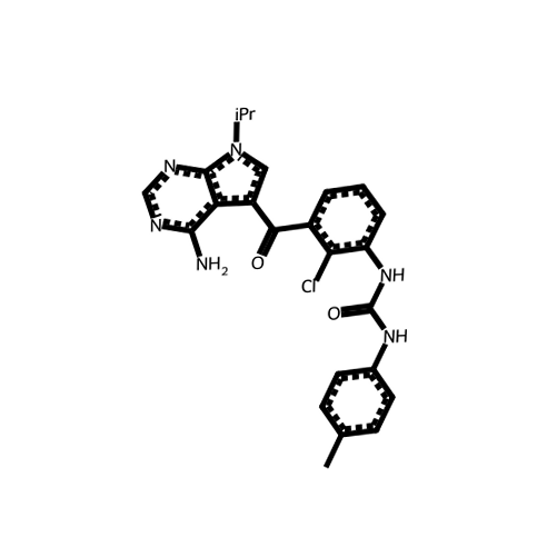 Cc1ccc(NC(=O)Nc2cccc(C(=O)c3cn(C(C)C)c4ncnc(N)c34)c2Cl)cc1